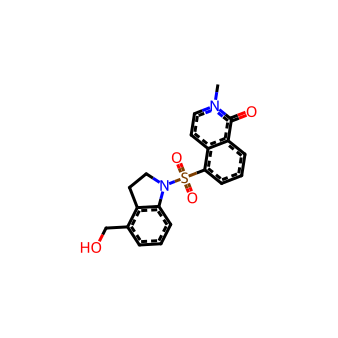 Cn1ccc2c(S(=O)(=O)N3CCc4c(CO)cccc43)cccc2c1=O